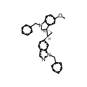 COc1ccc2c(c1)[C@]1(C[C@H]1c1ccc3cnn(Cc4ccccc4)c3c1)CN2Cc1ccccc1